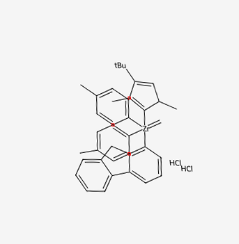 Cl.Cl.[CH2]=[Zr]([C]1=C(C)C(C(C)(C)C)=CC1C)([c]1ccc(C)cc1)([c]1ccc(C)cc1)[c]1cccc2c1Cc1ccccc1-2